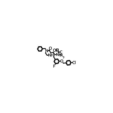 CC(=O)N[C@@H](Cc1cc(F)cc(OCc2ccc(Cl)cc2)c1)[C@H](O)[C@@H]1NCCN(Cc2ccccc2)C1=O